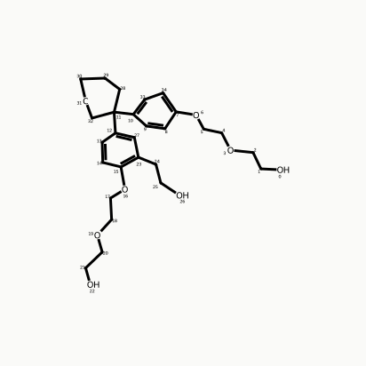 OCCOCCOc1ccc(C2(c3ccc(OCCOCCO)c(CCO)c3)CCCCC2)cc1